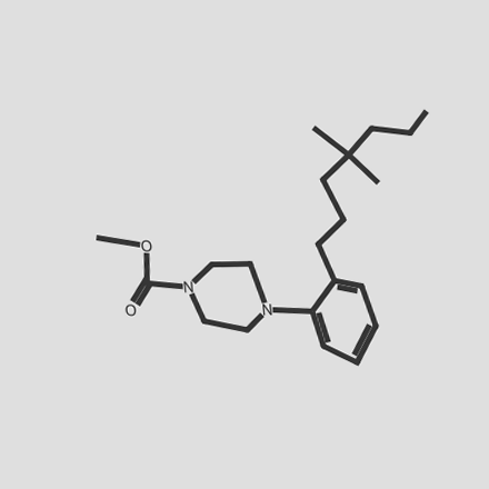 CCCC(C)(C)CCCc1ccccc1N1CCN(C(=O)OC)CC1